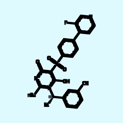 CCCCc1nc(=O)c(S(=O)(=O)c2ccc(-c3ccncc3F)cc2)c(O)n1[C@@H](CC)c1cccc(C#N)c1